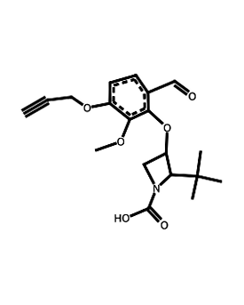 C#CCOc1ccc(C=O)c(OC2CN(C(=O)O)C2C(C)(C)C)c1OC